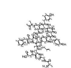 C=CCCC[C@](C)(NCC(NC(=O)CNC(=O)C(C)N)C(=O)[C@@H](N)CC(=O)O)C(=O)NC(C(=O)NC(C(=O)NC(CC(=O)[C@H](C)NC)C(=O)NC(C(=O)NC(C(=O)NC)C(=O)[C@@H](N)Cc1ccc(O)cc1)C(=O)[C@@H](N)Cc1ccc(O)cc1)C(=O)[C@@H](N)CC(N)=O)C(=O)[C@@H](N)Cc1ccccc1